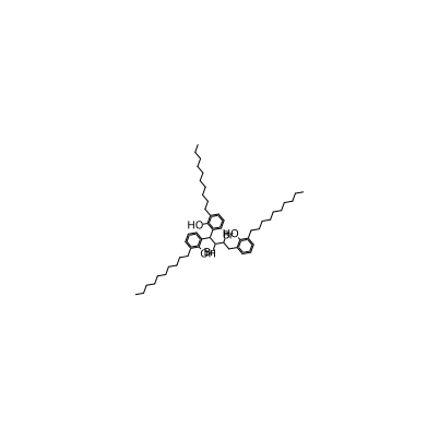 CCCCCCCCCCc1cccc(CC(Br)C(Br)C(c2cccc(CCCCCCCCCC)c2O)c2cccc(CCCCCCCCCC)c2O)c1O